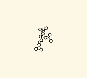 O=P(c1ccc2c(c1)Cc1cc3c4ccccc4c4ccccc4c3cc1-2)(c1ccc2c(c1)c1ccccc1n2-c1ccccc1)c1ccc2c(c1)c1ccccc1n2-c1ccccc1